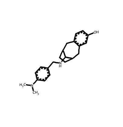 CN(C)c1ccc(CNC2C3CCC2Cc2cc(O)ccc2C3)cc1